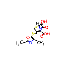 CCc1nc(CC)c(SCC2=C(C(=O)O)N3C(=O)[C@@H](O)[C@H]3SC2)o1